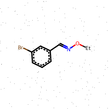 CCO/N=[C]/c1cccc(Br)c1